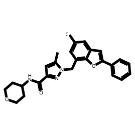 Cc1cc(C(=O)NC2CCOCC2)nn1Cc1cc(Cl)cc2cc(-c3ccccc3)oc12